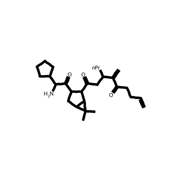 C=CCCC(=O)C(=C)C(CCC)CC(=O)C1C(C(=O)C(N)C2CCCC2)CC2C1C2(C)C